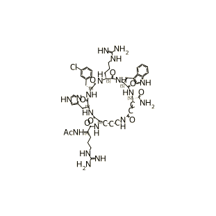 CC(=O)N[C@H](CCCNC(=N)N)C(=O)N[C@H]1CCCNC(=O)CC[C@@H](C(N)=O)NC(=O)[C@H](Cc2c[nH]c3ccccc23)NC(=O)[C@H](CCCNC(=N)N)NC(=O)[C@@H](Cc2cccc(Cl)c2)NC(=O)[C@H](Cc2c[nH]cn2)NC1=O